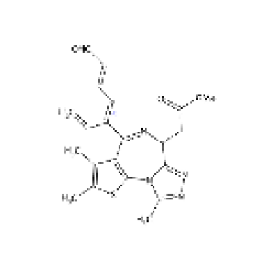 C=C/C(=C\C=CC=O)C1=NC(CC(=O)OC)c2nnc(C)n2-c2sc(C)c(C)c21